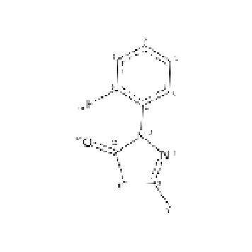 CC1=NN(c2ccccc2F)C(=O)C1